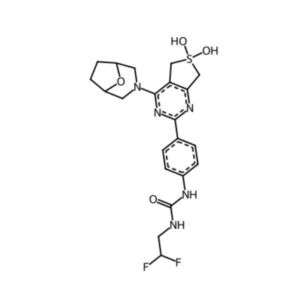 O=C(NCC(F)F)Nc1ccc(-c2nc3c(c(N4CC5CCC(C4)O5)n2)CS(O)(O)C3)cc1